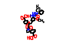 COc1cc(CC(=O)C(Oc2ccc(C(=O)O)cc2)(Oc2ccc(C(=O)O)cc2)N2CCCC2)ccc1NC(=O)Nc1ccccc1C